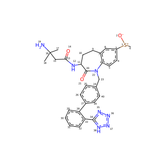 C[S+]([O-])c1ccc2c(c1)CCC(NC(=O)CC(C)(C)N)C(=O)N2Cc1ccc(-c2ccccc2-c2nnn[nH]2)cc1